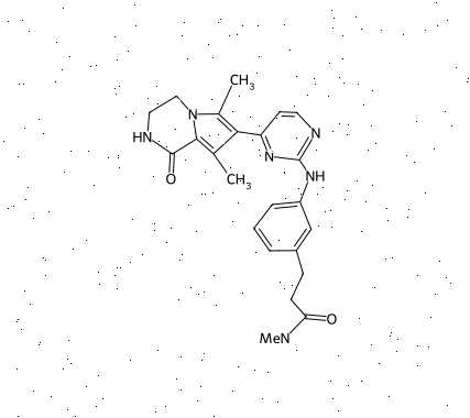 CNC(=O)CCc1cccc(Nc2nccc(-c3c(C)c4n(c3C)CCNC4=O)n2)c1